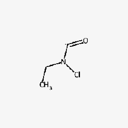 CCN(Cl)[C]=O